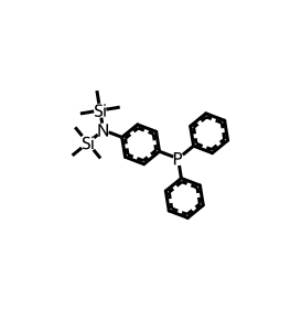 C[Si](C)(C)N(c1ccc(P(c2ccccc2)c2ccccc2)cc1)[Si](C)(C)C